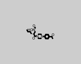 CCCC[C@H](CN(O)C=O)C(=O)N1CCN(c2ccc(C(C)=O)cc2)CC1